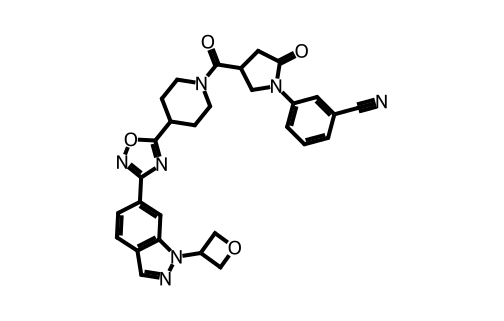 N#Cc1cccc(N2CC(C(=O)N3CCC(c4nc(-c5ccc6cnn(C7COC7)c6c5)no4)CC3)CC2=O)c1